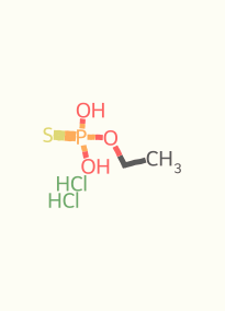 CCOP(O)(O)=S.Cl.Cl